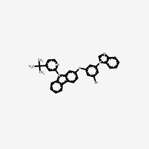 CC(C)(C)c1ccnc(-n2c3ccccc3c3ccc(Oc4cc(Br)cc(-n5cnc6ccccc65)c4)cc32)c1